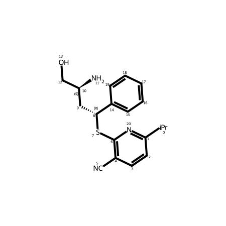 CC(C)c1ccc(C#N)c(S[C@H](C[C@H](N)CO)c2ccccc2)n1